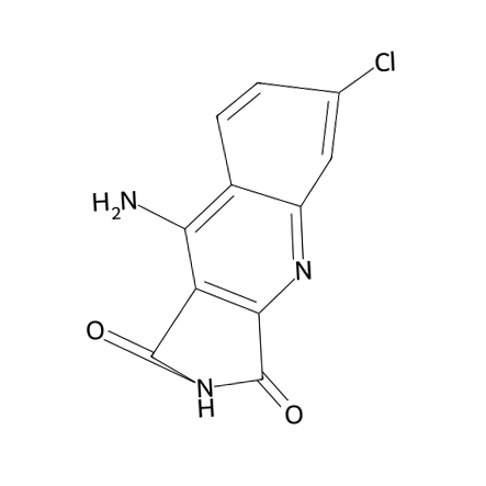 Nc1c2c(nc3cc(Cl)ccc13)C(=O)NC2=O